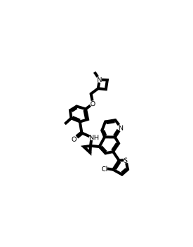 Cc1ccc(OCC2CCN2C)cc1C(=O)NC1(c2cc(-c3sccc3Cl)cc3ncccc23)CC1